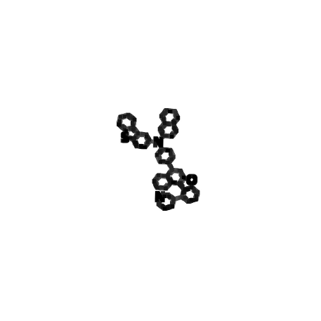 c1cncc(-c2cccc3oc4cc(-c5ccc(N(c6ccc7ccccc7c6)c6ccc7sc8ccccc8c7c6)cc5)c5ccccc5c4c23)c1